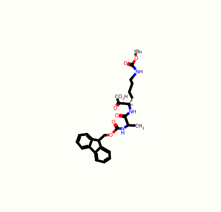 CC(NC(=O)OCC1c2ccccc2-c2ccccc21)C(=O)N[C@@H](CCCCNC(=O)OC(C)(C)C)C(=O)C(=O)O